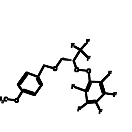 COc1ccc(COC[C@@H](OOc2c(F)c(F)c(F)c(F)c2F)C(F)(F)F)cc1